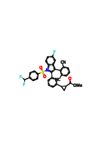 COC(=O)C1CC1c1cccc(-c2c(-c3c(C#N)cccc3C#N)c3cc(F)ccc3n2S(=O)(=O)c2ccc(C(F)F)cc2)c1